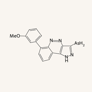 COc1cccc(-c2cccc3c2nnc2c([AsH2])n[nH]c23)c1